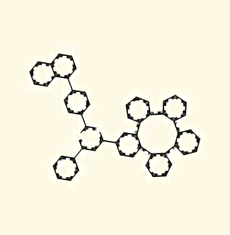 c1ccc(-c2cc(-c3ccc4c5ccccc5c5ccccc5c5ccccc5c5ccccc5c4c3)nc(-c3ccc(-c4cccc5ccccc45)cc3)n2)cc1